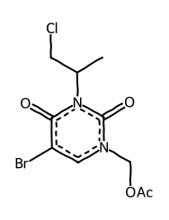 CC(=O)OCn1cc(Br)c(=O)n(C(C)CCl)c1=O